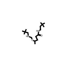 CC(CCC(=O)NCCC(C)(C)C)OCPCC(C)(C)C